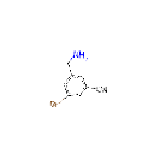 N#Cc1cc(Br)cc(CN)c1